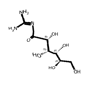 NC(N)=NC(=O)[C@H](O)[C@@H](O)[C@H](O)[C@H](O)CO